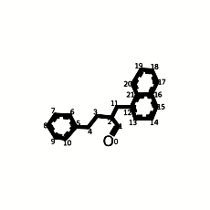 O=CC(CCc1ccccc1)Cc1cccc2ccccc12